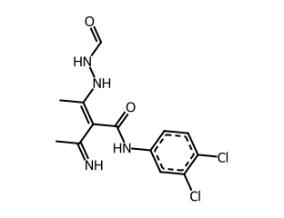 CC(=N)/C(C(=O)Nc1ccc(Cl)c(Cl)c1)=C(\C)NNC=O